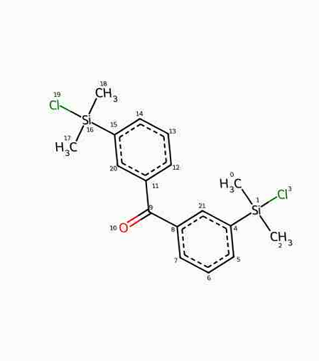 C[Si](C)(Cl)c1cccc(C(=O)c2cccc([Si](C)(C)Cl)c2)c1